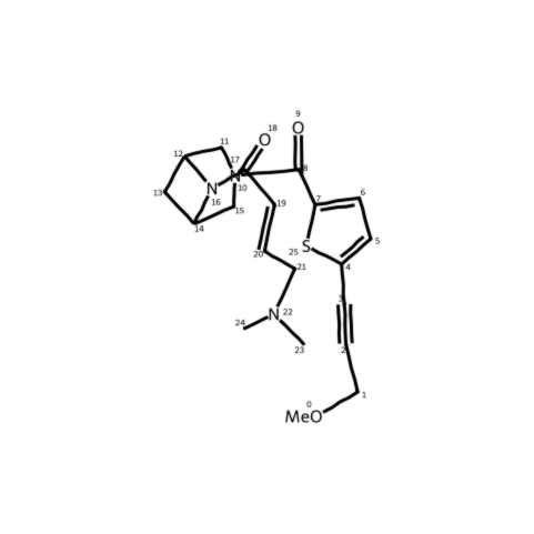 COCC#Cc1ccc(C(=O)N2CC3CC(C2)N3C(=O)/C=C/CN(C)C)s1